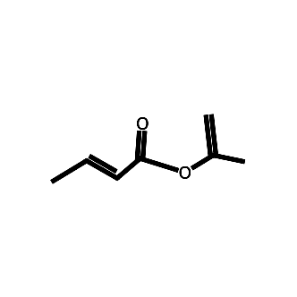 C=C(C)OC(=O)/C=C/C